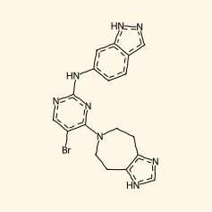 Brc1cnc(Nc2ccc3cn[nH]c3c2)nc1N1CCc2nc[nH]c2CC1